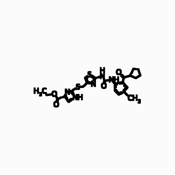 CCOC(=O)c1c[nH]c(SCc2csc(NC(=O)Nc3ccc(C)cc3C(=O)C3CCCC3)n2)n1